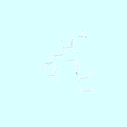 O[C@@H]1CNCC[C@H]1CNc1cc(Nc2cccc(F)c2)n2ncc(C3CC3)c2n1